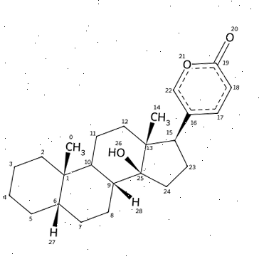 C[C@]12CCCC[C@H]1CC[C@@H]1C2CC[C@]2(C)[C@@H](c3ccc(=O)oc3)CC[C@]12O